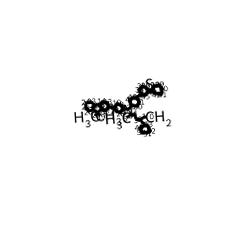 C=C/C(=C\C=C(/C)N(c1ccc(-c2ccc3c(c2)C(C)(C)C2=C3CCC=C2)cc1)c1ccc(-c2ccc3sc4ccccc4c3c2)cc1)c1ccccc1